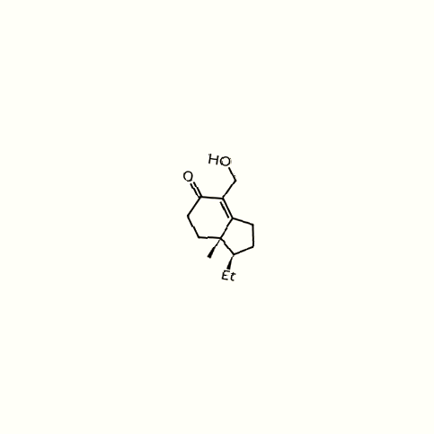 CC[C@@H]1CCC2=C(CO)C(=O)CC[C@]21C